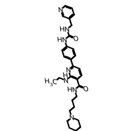 CCNc1nc(-c2ccc(NC(=O)NCc3cccnc3)cc2)ccc1C(=O)NCCCCN1CCCCC1